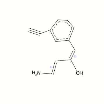 C#Cc1cccc(/C=C(O)\C=C\N)c1